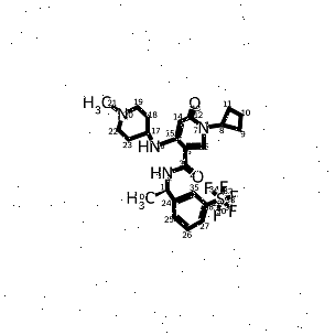 C[C@@H](NC(=O)c1cn(C2CCC2)c(=O)cc1NC1CCN(C)CC1)c1cccc(S(F)(F)(F)(F)F)c1